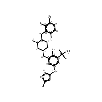 Cc1cc(Nc2cc(C(C)(C)O)c(F)c(C[C@@H]3CCN(Cc4c(F)ccc(Cl)c4F)[C@H](C)C3)n2)n[nH]1